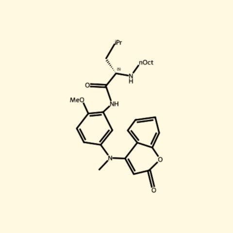 CCCCCCCCN[C@@H](CC(C)C)C(=O)Nc1cc(N(C)c2cc(=O)oc3ccccc23)ccc1OC